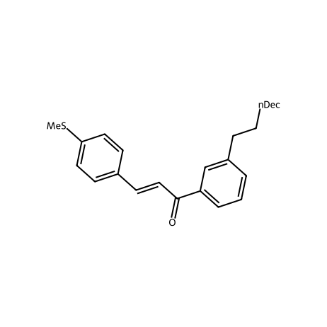 CCCCCCCCCCCCc1cccc(C(=O)C=Cc2ccc(SC)cc2)c1